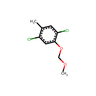 COCOc1cc(Cl)c(C)cc1Cl